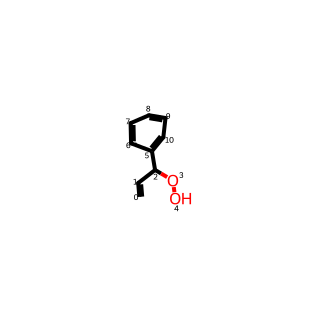 C=CC(OO)c1[c]cccc1